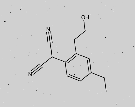 CCc1ccc(C(C#N)C#N)c(CCO)c1